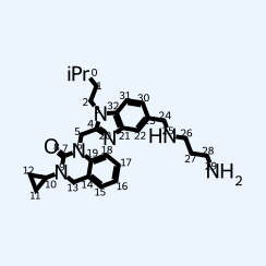 CC(C)CCn1c(CN2C(=O)N(C3CC3)Cc3ccccc32)nc2cc(CNCCCN)ccc21